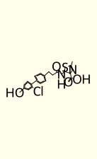 CC1=NC(C(=O)O)C(NC(=O)CCc2ccc(-c3ccc(O)cc3Cl)cc2)S1